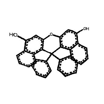 Oc1cc2c(c3ccccc13)C(c1ccccc1)(c1ccccc1)c1c(cc(O)c3ccccc13)O2